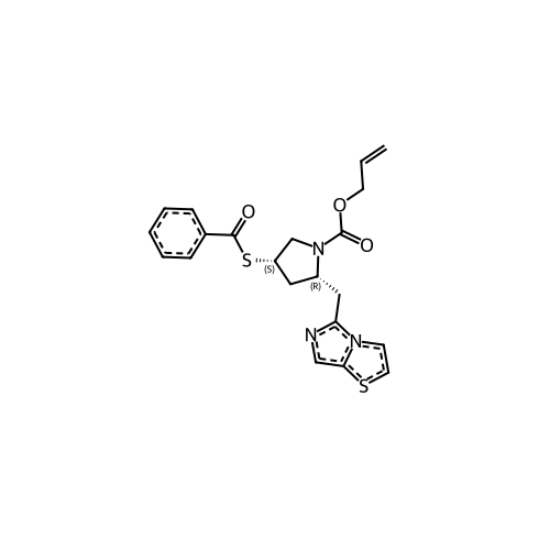 C=CCOC(=O)N1C[C@@H](SC(=O)c2ccccc2)C[C@H]1Cc1ncc2sccn12